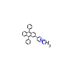 C[n+]1ccc(-c2ccc3c(-c4ccccc4)c4ccccc4c(-c4ccccc4)c3c2)cc1